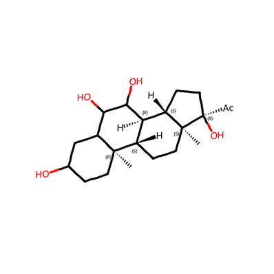 CC(=O)[C@@]1(O)CC[C@H]2[C@@H]3C(O)C(O)C4CC(O)CC[C@]4(C)[C@H]3CC[C@@]21C